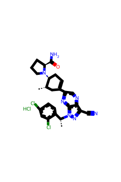 C[C@H](c1ccc(Cl)cc1Cl)n1nc(C#N)c2ncc(C3=CC[C@@H](N4CCC[C@H]4C(N)=O)[C@@H](C)C3)nc21.Cl